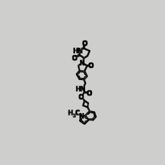 Cn1ccc2cccc(C3CC(OC(=O)NCc4ccc5c(c4)C(=O)N(C4CCC(=O)NC4=O)C5)C3)c21